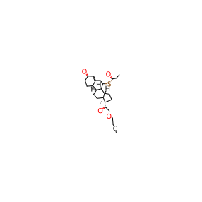 CCCCOCC(=O)[C@H]1CC[C@H]2[C@@H]3C(SC(=O)CC)CC4=CC(=O)CC[C@]4(C)[C@H]3CC[C@]12C